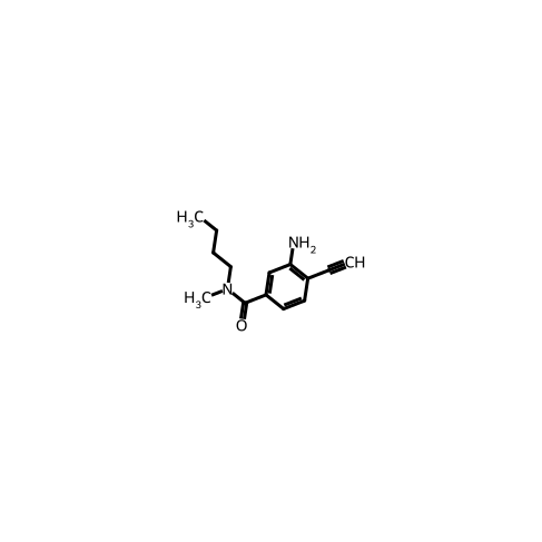 C#Cc1ccc(C(=O)N(C)CCCC)cc1N